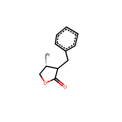 CC(C)[C@H]1COC(=O)C1Cc1ccccc1